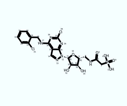 O=C(CP(=O)(O)O)NC[C@H]1O[C@@H](n2ncc3c(NCc4ccccc4Cl)nc(Cl)nc32)[C@H](O)[C@@H]1O